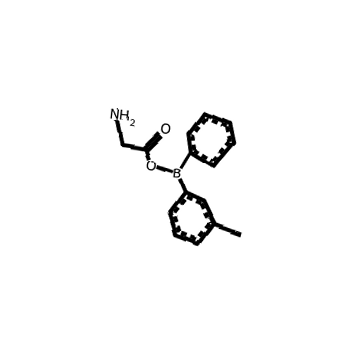 Cc1cccc(B(OC(=O)CN)c2ccccc2)c1